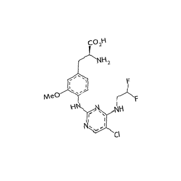 COc1cc(C[C@H](N)C(=O)O)ccc1Nc1ncc(Cl)c(NCC(F)F)n1